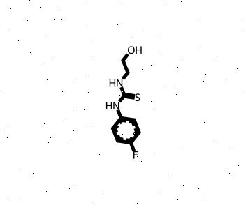 OCCNC(=S)Nc1ccc(F)cc1